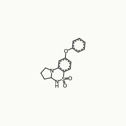 O=S1(=O)NC2CCCN2c2cc(Oc3ccccc3)ccc21